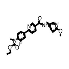 CCOC(=O)N(C)c1ccc(-c2ccc(C(=O)NCc3ccc(OC)nc3)cn2)cc1F